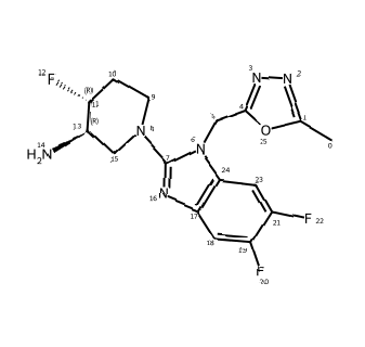 Cc1nnc(Cn2c(N3CC[C@@H](F)[C@H](N)C3)nc3cc(F)c(F)cc32)o1